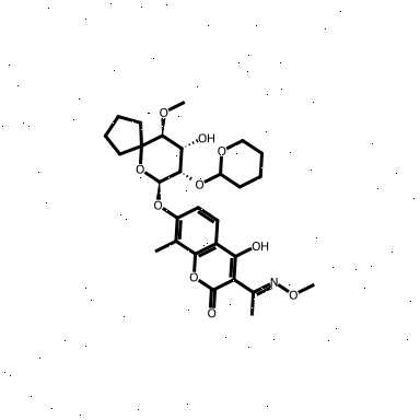 CON=C(C)c1c(O)c2ccc(O[C@H]3OC4(CCCC4)[C@@H](OC)[C@H](O)[C@@H]3OC3CCCCO3)c(C)c2oc1=O